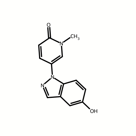 Cn1cc(-n2ncc3cc(O)ccc32)ccc1=O